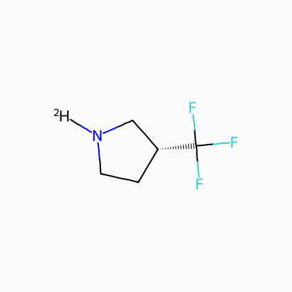 [2H]N1CC[C@@H](C(F)(F)F)C1